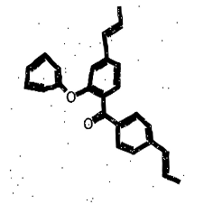 CC=Cc1ccc(C(=O)c2ccc(C=CC)cc2Oc2ccccc2)cc1